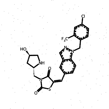 O=C1SC(=Cc2ccc3c(cnn3Cc3ccc(Cl)cc3C(F)(F)F)c2)C(=O)N1C[C@@H]1C[C@@H](O)CN1